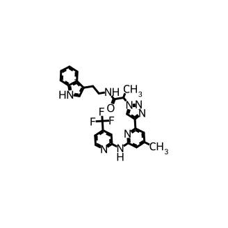 Cc1cc(Nc2cc(C(F)(F)F)ccn2)nc(-c2cn(C(C)C(=O)NCCc3c[nH]c4ccccc34)nn2)c1